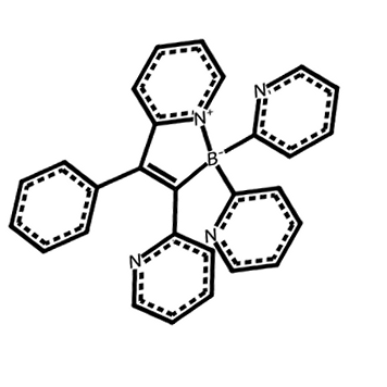 c1ccc(C2=C(c3ccccn3)[B-](c3ccccn3)(c3ccccn3)[n+]3ccccc32)cc1